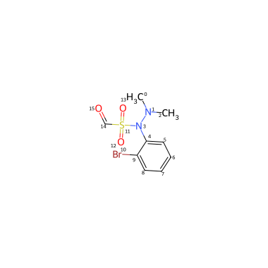 CN(C)N(c1ccccc1Br)S(=O)(=O)C=O